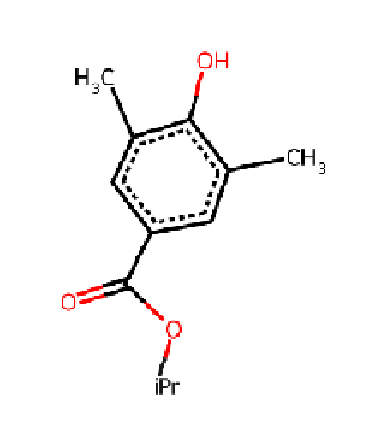 Cc1cc(C(=O)OC(C)C)cc(C)c1O